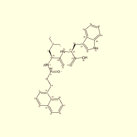 CC(C)C[C@H](N[PH](=O)CCc1cccc2ccccc12)C(=O)N[C@@H](Cc1c[nH]c2ccccc12)C(=O)O